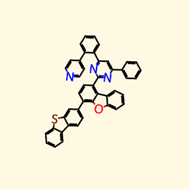 c1ccc(-c2cc(-c3ccccc3-c3ccncc3)nc(-c3ccc(-c4ccc5c(c4)sc4ccccc45)c4oc5ccccc5c34)n2)cc1